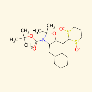 CC(C)(C)OC(=O)N1C(CC2CCCCC2)C(CC2[S+]([O-])CCC[S+]2[O-])OC1(C)C